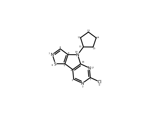 Clc1ncc2c3sncc3n(C3CCCC3)c2n1